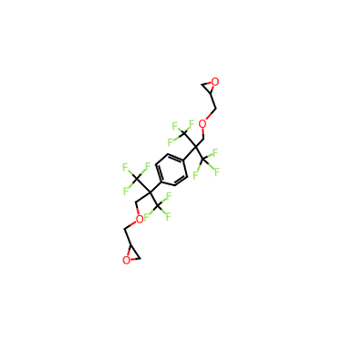 FC(F)(F)C(COCC1CO1)(c1ccc(C(COCC2CO2)(C(F)(F)F)C(F)(F)F)cc1)C(F)(F)F